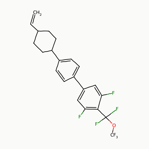 C=CC1CCC(c2ccc(-c3cc(F)c(C(F)(F)OC(F)(F)F)c(F)c3)cc2)CC1